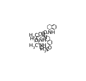 CN[C@@H](C)C(=O)N[C@H](C(=O)N1Cc2cc(OC)ccc2C[C@H]1C(=O)NC1CCCc2ccccc21)C(C)(C)C